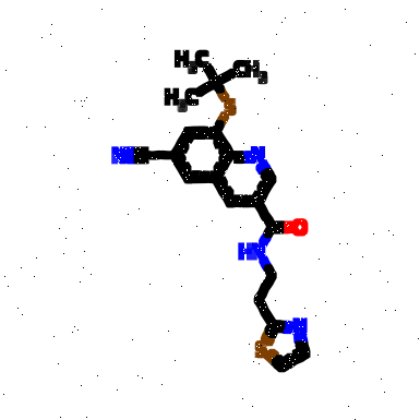 CC(C)(C)Sc1cc(C#N)cc2cc(C(=O)NCCc3nccs3)cnc12